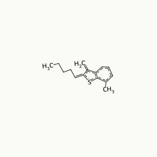 C=c1/c(=C\CCCC)sc2c(C)cccc12